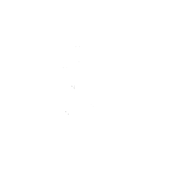 COc1ccc(C2(CN/C(=N/CC(C)C)SC)OCCO2)cc1